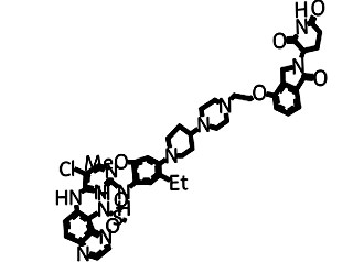 CCc1cc(Nc2ncc(Cl)c(Nc3ccc4nccnc4c3NS(C)(=O)=O)n2)c(OC)cc1N1CCC(N2CCN(CCOc3cccc4c3CN(C3CCC(=O)NC3=O)C4=O)CC2)CC1